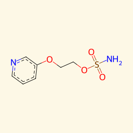 NS(=O)(=O)OCCOc1cccnc1